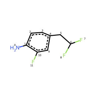 Nc1ccc(CC(F)F)cc1F